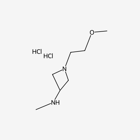 CNC1CN(CCOC)C1.Cl.Cl